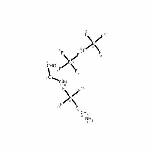 C.CCCCOC=O.F[B-](F)(F)F.F[B-](F)(F)F.F[B-](F)(F)F.N